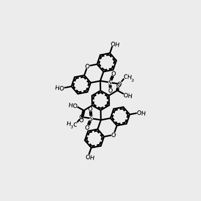 COS(=O)(=O)C1(c2cc(C(=O)O)c(C3(S(=O)(=O)OC)c4ccc(O)cc4Oc4cc(O)ccc43)cc2C(=O)O)c2ccc(O)cc2Oc2cc(O)ccc21